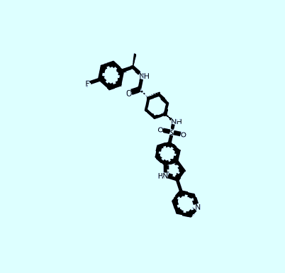 C[C@@H](NC(=O)[C@H]1CC[C@H](NS(=O)(=O)c2ccc3[nH]c(-c4cccnc4)cc3c2)CC1)c1ccc(F)cc1